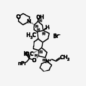 C=CC[N+]1([C@H]2CC3C4CC[C@H]5C[C@H](O)[C@@H](N6CCOCC6)C[C@]5(C)C4CC[C@]3(C)[C@H]2OC(=O)CCC)CCCCC1.[Br-]